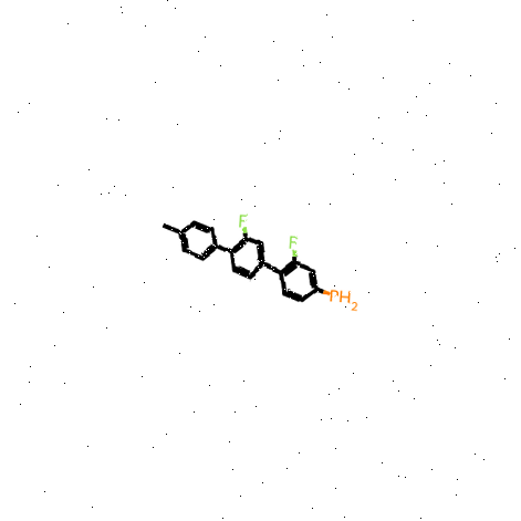 Cc1ccc(-c2ccc(-c3ccc(P)cc3F)cc2F)cc1